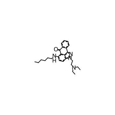 CCCCCCNc1ccc2c3c(nn2CCN(CC)CC)-c2ccccc2C(=O)c13